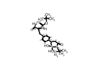 CC(C)(C)OC(=O)NC(Cc1ccc(C2CC(=O)N(C(C)(C)C)S2(O)O)cc1)C(=O)O